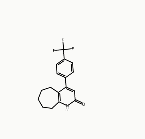 O=c1cc(-c2ccc(C(F)(F)F)cc2)c2c([nH]1)CCCCC2